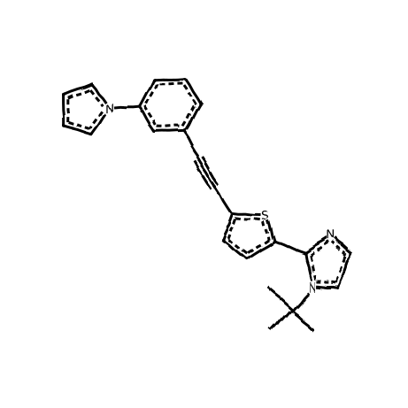 CC(C)(C)n1ccnc1-c1ccc(C#Cc2cccc(-n3cccc3)c2)s1